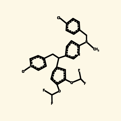 CN(Cc1ccc(Cl)cc1)c1ccc(C(Cc2cc[n+]([O-])cc2)c2ccc(OC(F)F)c(OC(F)F)c2)cn1